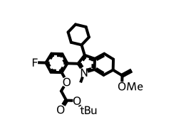 C=C(OC)C1C=c2c(c(C3CCCCC3)c(-c3ccc(F)cc3OCC(=O)OC(C)(C)C)n2C)=CC1